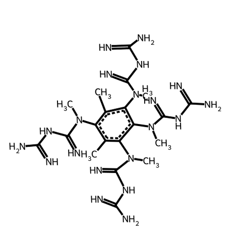 Cc1c(N(C)C(=N)NC(=N)N)c(C)c(N(C)C(=N)NC(=N)N)c(N(C)C(=N)NC(=N)N)c1N(C)C(=N)NC(=N)N